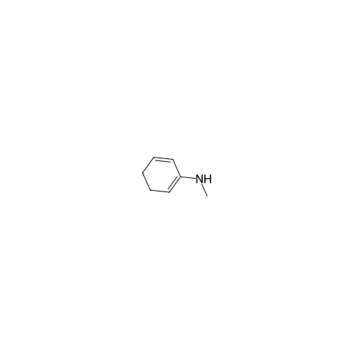 CNC1=CCCC=C1